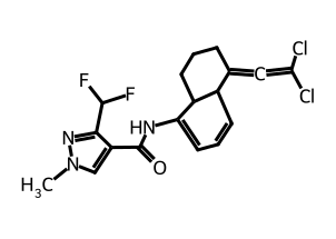 Cn1cc(C(=O)NC2=CC=CC3C(=C=C(Cl)Cl)CCCC23)c(C(F)F)n1